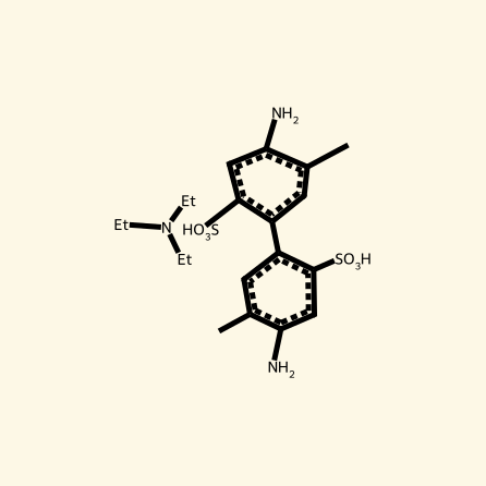 CCN(CC)CC.Cc1cc(-c2cc(C)c(N)cc2S(=O)(=O)O)c(S(=O)(=O)O)cc1N